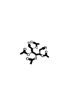 CC(=O)O[C@H]([C@H](OC(C)=O)[C@H](C=O)OC(C)=O)[C@@H](CC#N)OC(C)=O